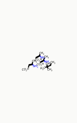 CC(N)=CC(=O)O.CC(N)=CC(=O)O.CC(N)=CC(=O)O.CCC(C)(C)C